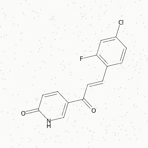 O=C(/C=C/c1ccc(Cl)cc1F)c1ccc(=O)[nH]c1